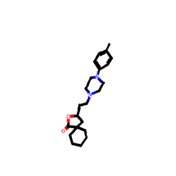 Cc1ccc(N2CCN(CCC3CC4(CCCCC4)C(=O)O3)CC2)cc1